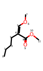 CCCCC(=COC)C(=O)OC